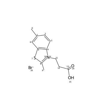 Cc1ccc2c(c1)sc(C)[n+]2CCC(=O)O.[Br-]